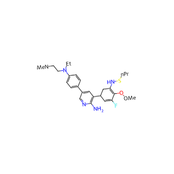 CCCSNC1=C(OOC)C(F)=CC(c2cc(-c3ccc(N(CC)CCNC)cc3)cnc2N)C1